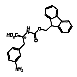 Nc1cccc(C[C@H](NC(=O)OCC2c3ccccc3-c3ccccc32)C(=O)O)c1